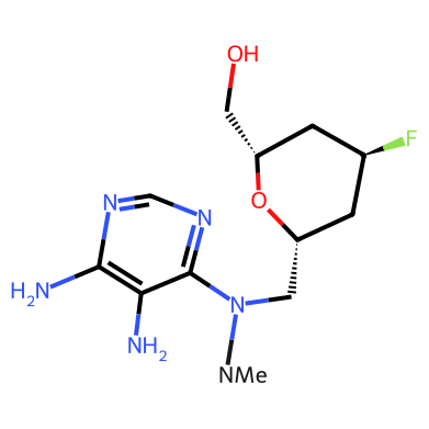 CNN(C[C@H]1C[C@H](F)C[C@@H](CO)O1)c1ncnc(N)c1N